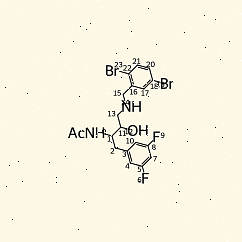 CC(=O)NC(Cc1cc(F)cc(F)c1)C(O)CNCc1cc(Br)ccc1Br